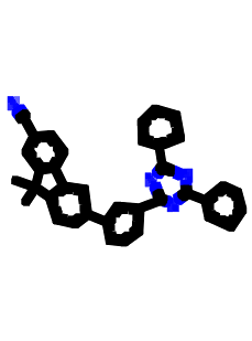 CC1(C)c2ccc(-c3cccc(-c4nc(-c5ccccc5)nc(-c5ccccc5)n4)c3)cc2-c2ccc(C#N)cc21